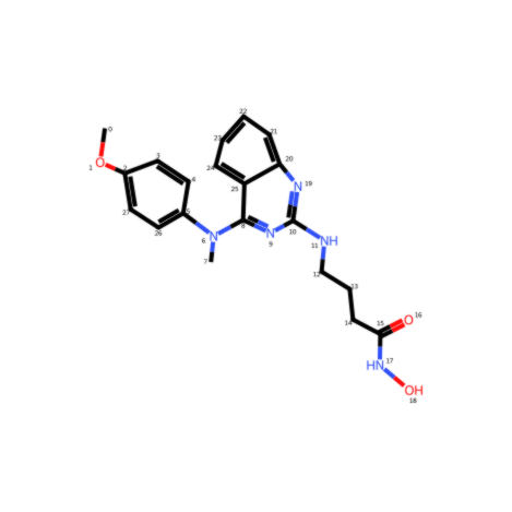 COc1ccc(N(C)c2nc(NCCCC(=O)NO)nc3ccccc23)cc1